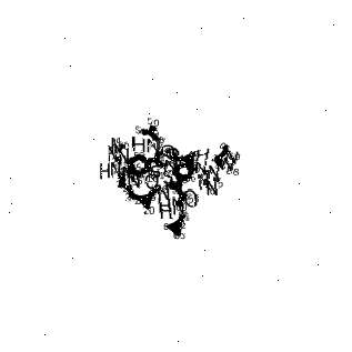 Cc1cc(-n2cnnc2N[C@@H]2CCc3sc(NC(=O)C4CC4Cc4cc(Nc5nncn5C5CCc6sc(NC(=O)C7CC7)c(C(=O)NCC(C)C)c6C5)n(C)n4)c(C(=O)NCC4CC4)c3C2)n(C)n1